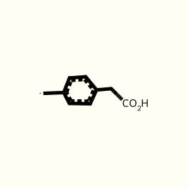 [CH2]c1ccc(CC(=O)O)cc1